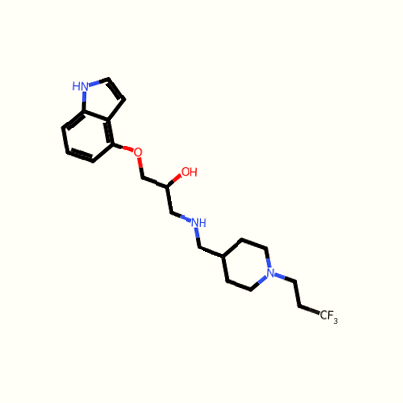 OC(CNCC1CCN(CCC(F)(F)F)CC1)COc1cccc2[nH]ccc12